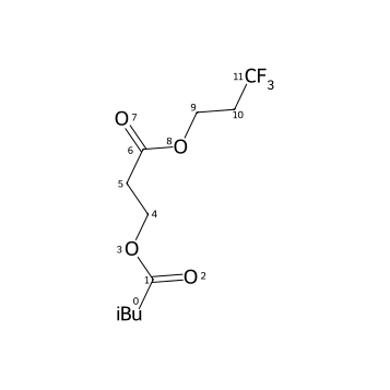 CCC(C)C(=O)OCCC(=O)OCCC(F)(F)F